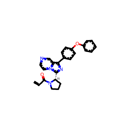 C=CC(=O)N1CCC[C@H]1c1nc(-c2ccc(Oc3ccccc3)cc2)c2cnccn12